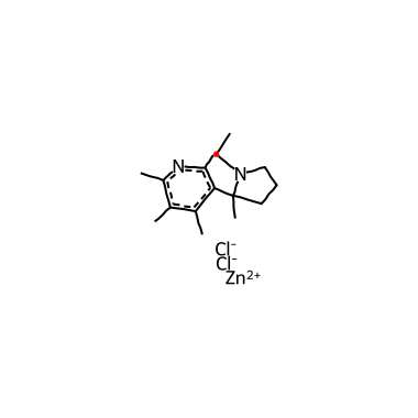 CCN1CCCC1(C)c1c(C)nc(C)c(C)c1C.[Cl-].[Cl-].[Zn+2]